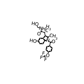 Cc1c([C@H](C)C(=O)NCO)c2cc(O)ccc2n1C(=O)c1ccc(OC(F)(F)F)cc1